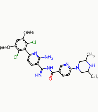 COc1cc(OC)c(Cl)c(-c2ccc(C(=N)NC(=O)c3ccc(N4CC(C)NC(C)C4)nc3)c(N)n2)c1Cl